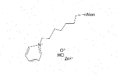 CCCCCCCCCCCCCCCC[n+]1ccccc1.Cl.[O-2].[Zn+2]